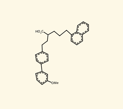 COc1cccc(-c2ccc(CCC(CCCc3cccc4ccccc34)C(=O)O)cc2)c1